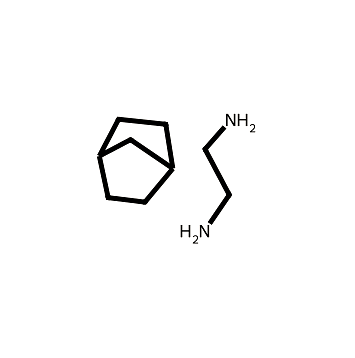 C1CC2CCC1C2.NCCN